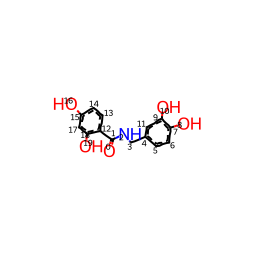 O=C(NCc1ccc(O)c(O)c1)c1ccc(O)cc1O